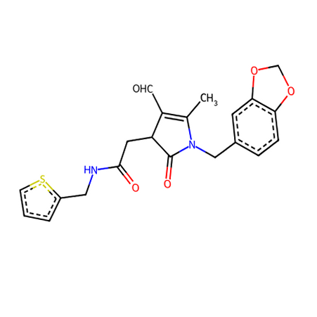 CC1=C(C=O)C(CC(=O)NCc2cccs2)C(=O)N1Cc1ccc2c(c1)OCO2